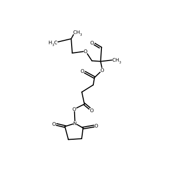 CC(C)COCC(C)(C=O)OC(=O)CCC(=O)ON1C(=O)CCC1=O